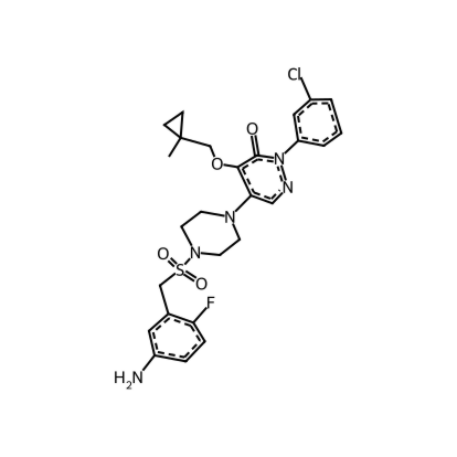 CC1(COc2c(N3CCN(S(=O)(=O)Cc4cc(N)ccc4F)CC3)cnn(-c3cccc(Cl)c3)c2=O)CC1